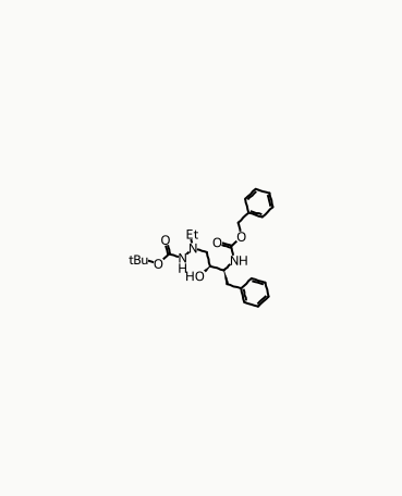 CCN(C[C@H](O)[C@H](Cc1ccccc1)NC(=O)OCc1ccccc1)NC(=O)OC(C)(C)C